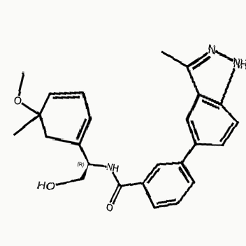 COC1(C)C=CC=C([C@H](CO)NC(=O)c2cccc(-c3ccc4[nH]nc(C)c4c3)c2)C1